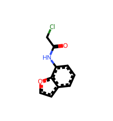 O=C(CCl)Nc1cccc2ccoc12